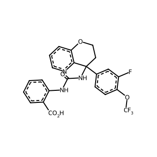 O=C(Nc1ccccc1C(=O)O)NC1(c2ccc(OC(F)(F)F)c(F)c2)CCOc2cccnc21